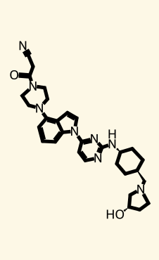 N#CCC(=O)N1CCN(c2cccc3c2ccn3-c2ccnc(N[C@H]3CC[C@H](CN4CC[C@H](O)C4)CC3)n2)CC1